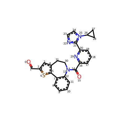 O=Cc1cc2c(s1)-c1ccccc1N(C(=O)c1cccc(-c3nccn3C3CC3)n1)CC2